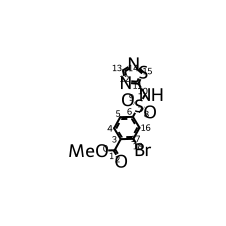 COC(=O)c1ccc(S(=O)(=O)Nc2ncns2)cc1Br